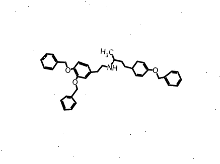 CC(CCC1C=CC(OCc2ccccc2)=CC1)NCCc1ccc(OCc2ccccc2)c(OCc2ccccc2)c1